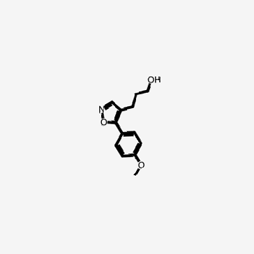 COc1ccc(-c2oncc2CCCO)cc1